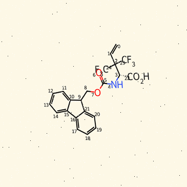 C=CC([C@@H](NC(=O)OCC1c2ccccc2-c2ccccc21)C(=O)O)(C(F)(F)F)C(F)(F)F